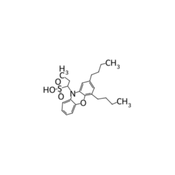 CCCCc1cc(CCCC)c2c(c1)N(C(CC)S(=O)(=O)O)c1ccccc1O2